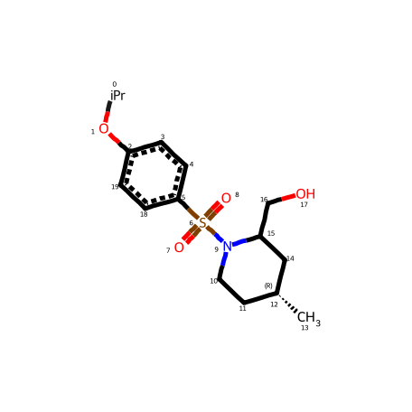 CC(C)Oc1ccc(S(=O)(=O)N2CC[C@@H](C)CC2CO)cc1